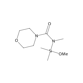 CO[Si](C)(C)N(C)C(=O)N1CCOCC1